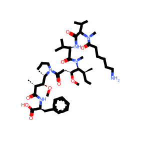 CC[C@H](C)[C@@H]([C@@H](CC(=O)N1CCC[C@H]1[C@H](OC)[C@@H](C)C(=O)N[C@@H](Cc1ccccc1)C(=O)O)OC)N(C)C(=O)[C@@H](NC(=O)C(C(C)C)N(C)C(=O)CCCCCN)C(C)C